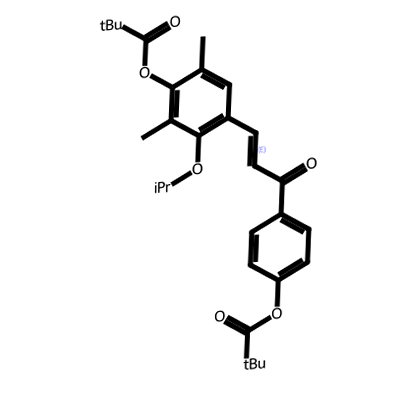 Cc1cc(/C=C/C(=O)c2ccc(OC(=O)C(C)(C)C)cc2)c(OC(C)C)c(C)c1OC(=O)C(C)(C)C